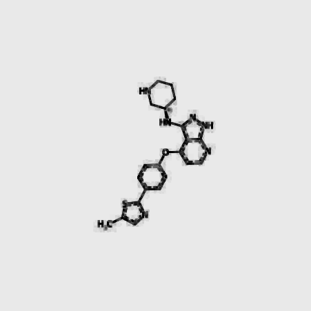 Cc1cnc(-c2ccc(Oc3ccnc4[nH]nc(N[C@@H]5CCCNC5)c34)cc2)s1